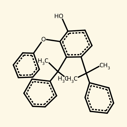 CC(C)(c1ccccc1)c1ccc(O)c(Oc2ccccc2)c1C(C)(C)c1ccccc1